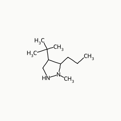 CCCC1C(C(C)(C)C)CNN1C